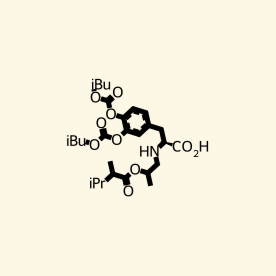 CCC(C)OC(=O)Oc1ccc(C[C@H](NCC(C)OC(=O)C(C)C(C)C)C(=O)O)cc1OC(=O)OC(C)CC